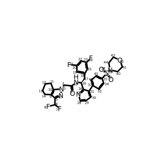 O=C(Cn1nc(C(F)F)c2c1CCCC2)N[C@@H](Cc1cc(F)cc(F)c1)c1ncccc1-c1ccc(S(=O)(=O)N2CCOCC2)cc1